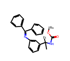 CCCCOC(=O)NC(C)(CC)c1cccc(N=C(c2ccccc2)c2ccccc2)c1